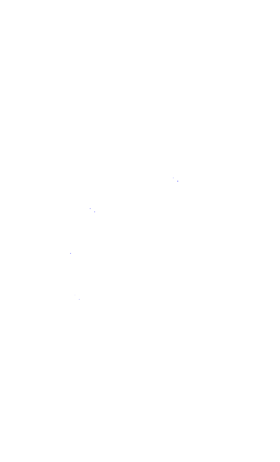 C[C@H](NC(=O)/C=C/c1ccc(F)c(F)c1)c1cccc(N2CCN(c3ccccn3)CC2)c1